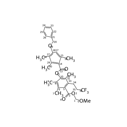 COCOC(=O)c1c(C)c(C)c(OC(=O)c2c(C)cc(OCc3ccccc3)c(C)c2C)c(C)c1CCC(F)(F)F